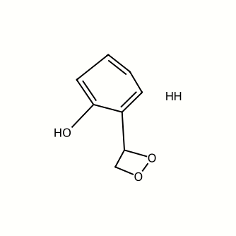 Oc1ccccc1C1COO1.[HH]